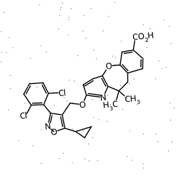 CC1(C)Cc2ccc(C(=O)O)cc2Oc2ccc(OCc3c(-c4c(Cl)cccc4Cl)noc3C3CC3)nc21